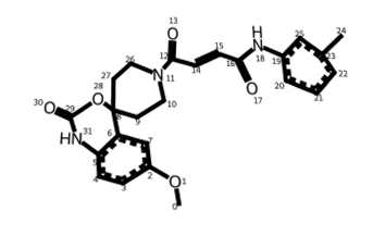 COc1ccc2c(c1)C1(CCN(C(=O)C=CC(=O)Nc3cccc(C)c3)CC1)OC(=O)N2